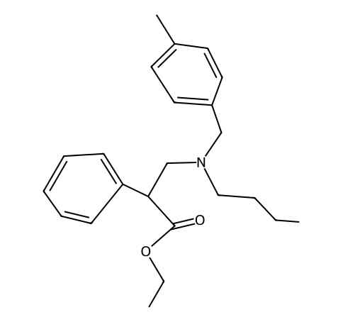 CCCCN(Cc1ccc(C)cc1)CC(C(=O)OCC)c1ccccc1